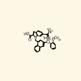 COc1ccccc1Oc1cc(Cn2c(C(=O)O)cc3ccc(C(=N)N)cc32)c2ccccc2c1